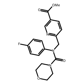 COC(=O)c1ccc(CN(C(=O)N2CCOCC2)c2ccc(F)cc2)nc1